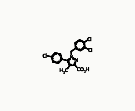 Cc1c(C(=O)O)nn(Cc2ccc(Cl)c(Cl)c2)c1-c1ccc(Cl)cc1